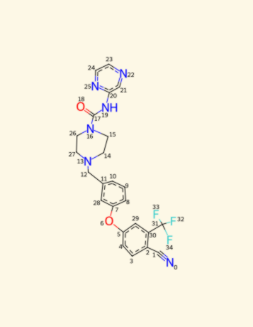 N#Cc1ccc(Oc2cccc(CN3CCN(C(=O)Nc4cnccn4)CC3)c2)cc1C(F)(F)F